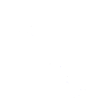 O=C(Nc1ccc(S(=O)(=O)C2CCN(C(=O)c3ccc(F)cc3)CC2)cc1)C1CN(c2ccnnc2)C1